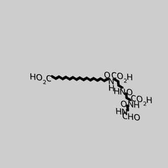 O=CNCC(=O)NC(CC(=O)NCCCC(NC(=O)CCCCCCCCCCCCCCCCC(=O)O)C(=O)O)C(=O)O